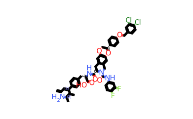 C=C/C=C(\C(C)=C(\C)N)c1ccc(C[C@H](NC(=O)[C@@H]2Cc3cc4c(cc3CN2C(=O)Nc2ccc(F)c(F)c2)O[C@@H](c2ccc(OCc3ccc(Cl)c(Cl)c3)cc2)CO4)C(=O)O)cc1